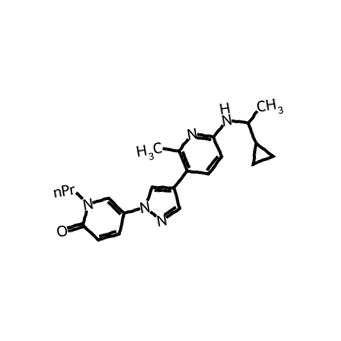 CCCn1cc(-n2cc(-c3ccc(NC(C)C4CC4)nc3C)cn2)ccc1=O